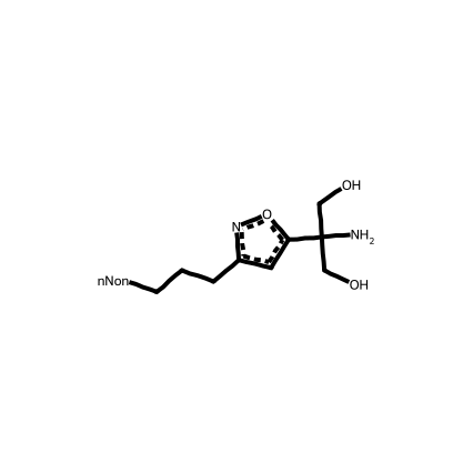 CCCCCCCCCCCCc1cc(C(N)(CO)CO)on1